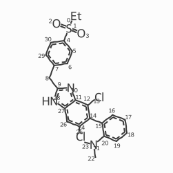 CCS(=O)(=O)c1ccc(Cc2nc3c(Cl)c(-c4ccccc4N(C)C)c(Cl)cc3[nH]2)cc1